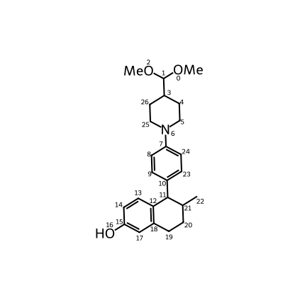 COC(OC)C1CCN(c2ccc(C3c4ccc(O)cc4CCC3C)cc2)CC1